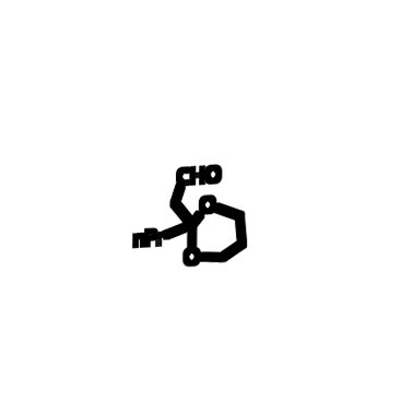 CCCC1(CC=O)OCCCO1